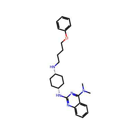 CN(C)c1nc(N[C@H]2CC[C@@H](NCCCCOc3ccccc3)CC2)nc2ccccc12